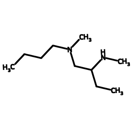 CCCCN(C)CC(CC)NC